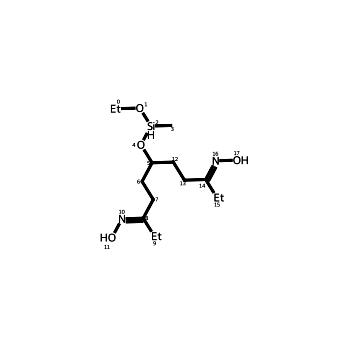 CCO[SiH](C)OC(CCC(CC)=NO)CCC(CC)=NO